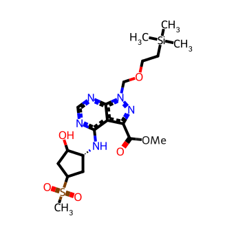 COC(=O)c1nn(COCC[Si](C)(C)C)c2ncnc(N[C@@H]3CC(S(C)(=O)=O)CC3O)c12